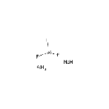 [AlH3].[F][Al]([F])[F].[NaH]